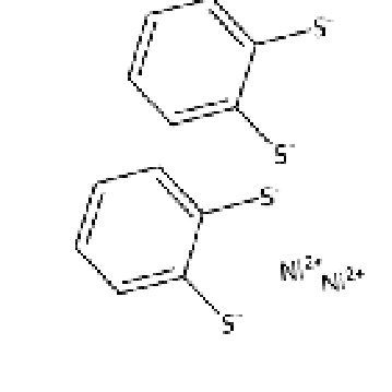 [Ni+2].[Ni+2].[S-]c1ccccc1[S-].[S-]c1ccccc1[S-]